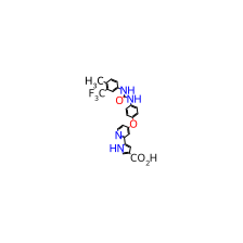 Cc1ccc(NC(=O)Nc2ccc(Oc3ccnc(-c4cc(C(=O)O)c[nH]4)c3)cc2)cc1C(F)(F)F